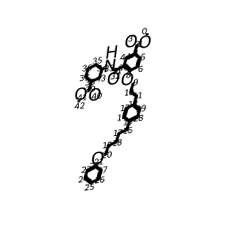 COC(=O)c1ccc(OCCCc2ccc(CCCCCOc3ccccc3)cc2)c(C(=O)NC2CCCC(C(=O)OC)C2)c1